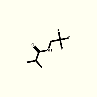 CC(C)C(=O)NCC(F)(F)F